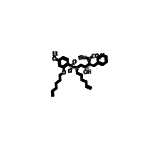 C=CCCCCOc1cc(OCC)ccc1S(=O)(=O)N(CCCCC=C)C[C@@H](O)[C@H](Cc1ccccc1)N(C(=O)O)C(C)(C)C